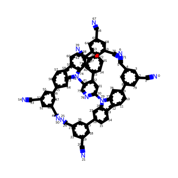 N#Cc1cc(C#N)cc(-c2ccc3c4ccc(-c5cc(C#N)cc(C#N)c5)cc4n(-c4cc(-c5cccc(C#N)c5)c(-n5c6cc(-c7cc(C#N)cc(C#N)c7)ccc6c6ccc(-c7cc(C#N)cc(C#N)c7)cc65)cn4)c3c2)c1